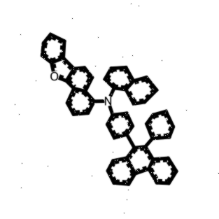 c1ccc(-c2c(-c3ccc(N(c4cccc5ccccc45)c4cccc5c4ccc4c6ccccc6oc54)cc3)c3ccccc3c3ccccc23)cc1